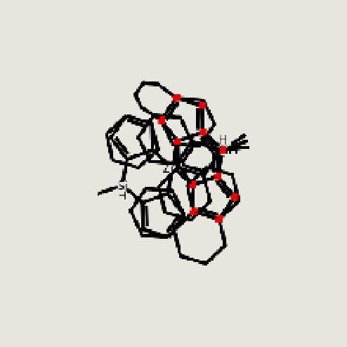 C[SiH]1C2=CC3=C(CCCC3)[CH]2[Zr]234([CH]5C1=CC1=C5CCCC1)([CH]1C(=CC5=C1CCCC5)[SiH](C)C1=CC5=C(CCCC5)[CH]12)([CH]1C(=CC2=C1CCCC2)[SiH](C)C1=CC2=C(CCCC2)[CH]13)[CH]1C(=CC2=C1CCCC2)[SiH](C)C1=CC2=C(CCCC2)[CH]14